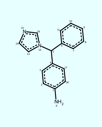 Nc1ccc(C(c2ccccc2)n2ccnc2)cc1